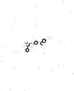 CCn1nc(C(=O)Nc2ccc(Oc3ccnc4cc(OC)c(OC)cc34)c(F)c2)c(=O)c(-c2ccc(F)cc2)c1C